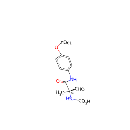 CCCCCCCCOc1ccc(NC(=O)[C@](C)(C=O)NC(=O)O)cc1